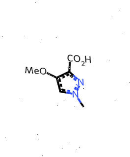 COc1cn(C)nc1C(=O)O